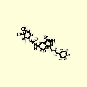 O=C(Nc1ccc(Cl)c(Cl)c1)Nc1ccc2c(CCCc3ccccc3)n[nH]c(=O)c2c1